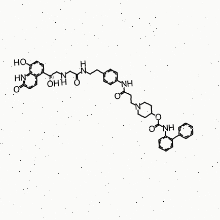 O=C(CNC[C@H](O)c1ccc(O)c2[nH]c(=O)ccc12)NCCc1ccc(NC(=O)CCN2CCC(OC(=O)Nc3ccccc3-c3ccccc3)CC2)cc1